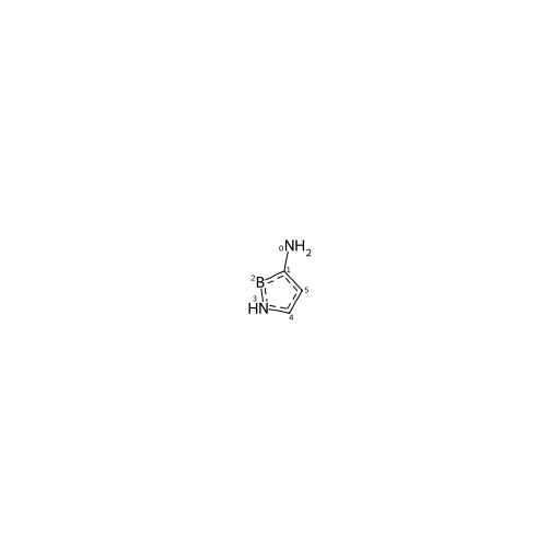 Nc1b[nH]cc1